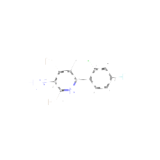 Cc1c(-c2ccc(F)cc2Cl)nc(Br)c(N)c1Br